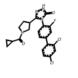 O=C(C1CC1)N1CCC(c2n[nH]c(=O)n2-c2ccc(-c3ccc(Cl)cc3Cl)cc2F)C1